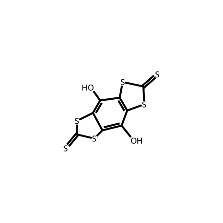 Oc1c2sc(=S)sc2c(O)c2sc(=S)sc12